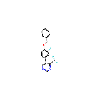 Fc1cc(-c2cncnc2C(F)F)ccc1OCc1ccccc1